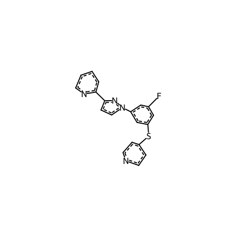 Fc1cc(Sc2ccncc2)cc(-n2ccc(-c3ccccn3)n2)c1